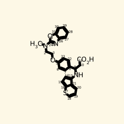 CN(CCOc1ccc(C(CC(=O)O)Nc2ccc3scccc2-3)cc1)c1nc2ccccc2o1